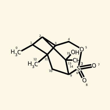 CC1C2C3COS(=O)(=O)C(CC13C)C2(C)O